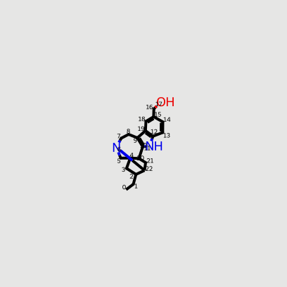 CCC1CC2CN3CCc4c([nH]c5ccc(CO)cc45)C2CC13